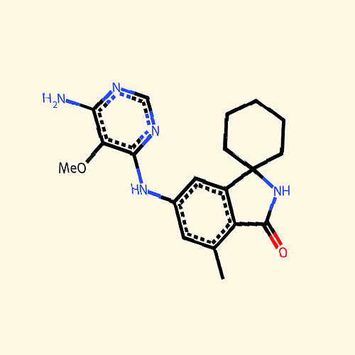 COc1c(N)ncnc1Nc1cc(C)c2c(c1)C1(CCCCC1)NC2=O